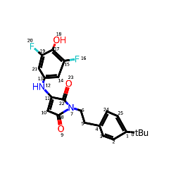 CC(C)(C)c1ccc(CCN2C(=O)C=C(Nc3cc(F)c(O)c(F)c3)C2=O)cc1